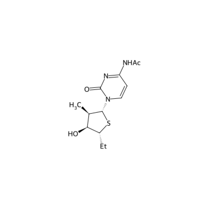 CC[C@H]1S[C@@H](n2ccc(NC(C)=O)nc2=O)[C@H](C)[C@@H]1O